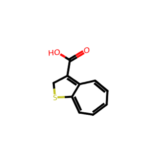 O=C(O)C1=C2C=CC=CC=C2SC1